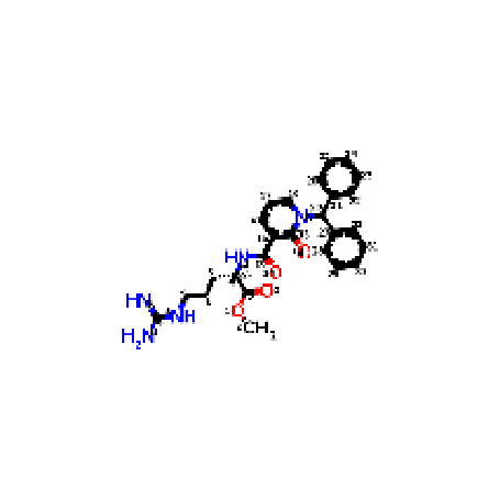 COC(=O)[C@H](CCCNC(=N)N)NC(=O)c1cccn(C(c2ccccc2)c2ccccc2)c1=O